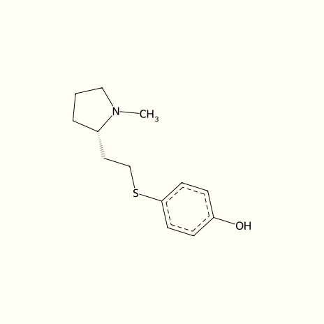 CN1CCC[C@H]1CCSc1ccc(O)cc1